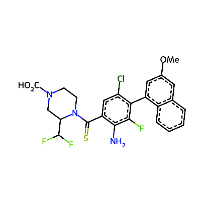 COc1cc(-c2c(Cl)cc(C(=S)N3CCN(C(=O)O)CC3C(F)F)c(N)c2F)c2ccccc2c1